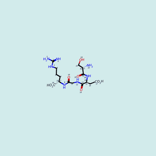 N=C(N)NCCC[C@H](NC(=O)CNC(=O)[C@H](CC(=O)O)NC(=O)[C@@H](N)CO)C(=O)O